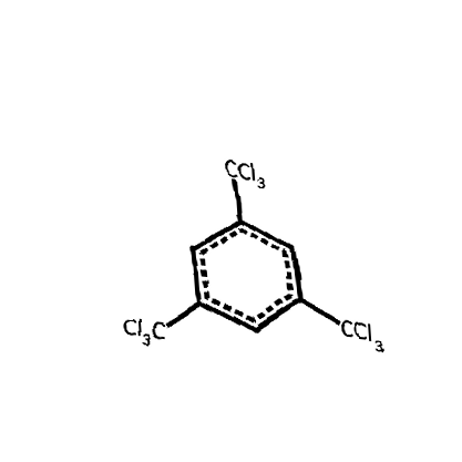 ClC(Cl)(Cl)c1cc(C(Cl)(Cl)Cl)cc(C(Cl)(Cl)Cl)c1